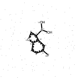 OB(O)c1coc2ccc(F)cc12